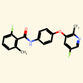 Cc1cccc(F)c1C(=O)Nc1ccc(Oc2cc(F)cnc2C(F)(F)F)cc1